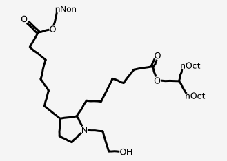 CCCCCCCCCOC(=O)CCCCCC1CCN(CCO)C1CCCCCC(=O)OC(CCCCCCCC)CCCCCCCC